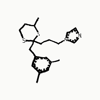 Cc1cc(C)cc(CC2(CCCn3ccnc3)SCCC(C)S2)c1